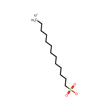 CCCCCCCCCCCCCS(=O)(=O)[O-].[Li+]